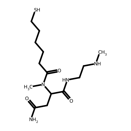 CNCCNC(=O)C(CC(N)=O)N(C)C(=O)CCCCCS